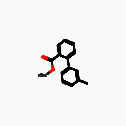 CCCCCCCCCCOC(=O)c1ccccc1-c1cccc(C)c1